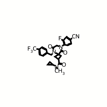 CN(C(=O)C1CC2(C1)C(=O)N(c1ccc(C#N)cc1F)CC(=O)N2Cc1ccc(C(F)(F)F)cc1)C1CC1